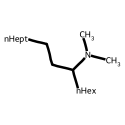 CCCCCCCCCC(CCCCCC)N(C)C